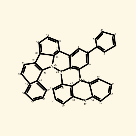 c1ccc(-c2cc3c4c(c2)N2c5ccccc5Sc5cccc(c52)B4n2c4c-3cccc4c3ccc4ccccc4c32)cc1